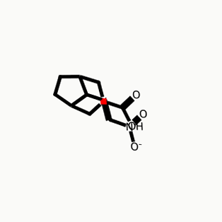 O=C(O)N1CC2CCC(C1)C2C=C[N+](=O)[O-]